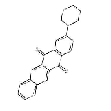 O=C1c2ccc(N3CCCCC3)cc2C(=O)c2cc3ccccc3cc21